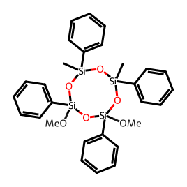 CO[Si]1(c2ccccc2)O[Si](C)(c2ccccc2)O[Si](C)(c2ccccc2)O[Si](OC)(c2ccccc2)O1